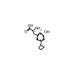 Cl.N[C@@H](Cc1cccc(C2CCC2)c1)C(=O)O